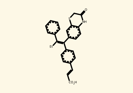 CCC(=C(c1ccc(C=CC(=O)O)cc1)c1ccc2c(c1)SCC(=O)N2)c1ccccc1